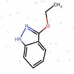 CCOc1n[nH]c2ccccc12